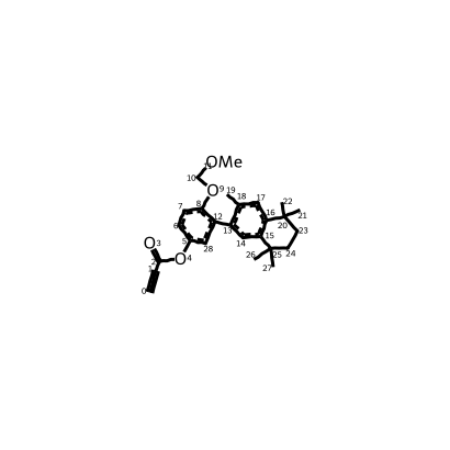 C#CC(=O)Oc1ccc(OCOC)c(-c2cc3c(cc2C)C(C)(C)CCC3(C)C)c1